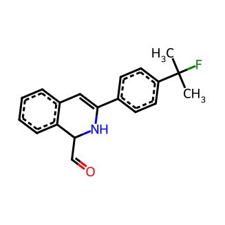 CC(C)(F)c1ccc(C2=Cc3ccccc3C(C=O)N2)cc1